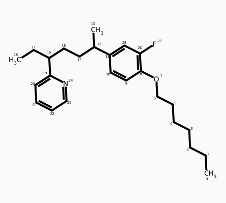 CCCCCCCOc1ccc(C(C)CCC(CC)c2ccccn2)cc1F